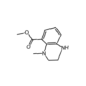 COC(=O)c1cccc2c1N(C)CCN2